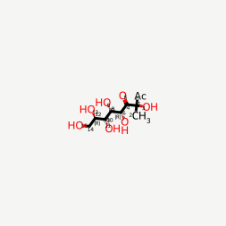 CC(=O)C(C)(O)C(=O)[C@H](O)[C@@H](O)[C@H](O)[C@H](O)CO